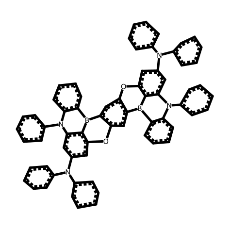 c1ccc(N(c2ccccc2)c2cc3c4c(c2)N(c2ccccc2)c2ccccc2B4c2cc4c(cc2O3)B2c3ccccc3N(c3ccccc3)c3cc(N(c5ccccc5)c5ccccc5)cc(c32)O4)cc1